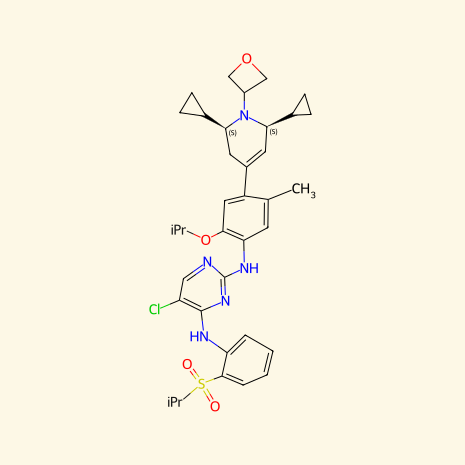 Cc1cc(Nc2ncc(Cl)c(Nc3ccccc3S(=O)(=O)C(C)C)n2)c(OC(C)C)cc1C1=C[C@H](C2CC2)N(C2COC2)[C@H](C2CC2)C1